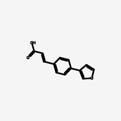 O=C(O)C=Cc1ccc(-c2ccoc2)cc1